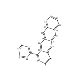 [c]1ccc(-c2cccc3cc4cc5ccccc5cc4cc23)cc1